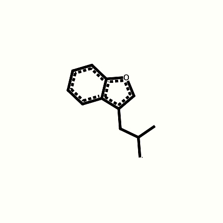 [CH2]C(C)Cc1coc2ccccc12